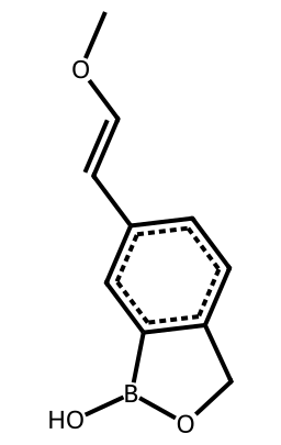 CO/C=C/c1ccc2c(c1)B(O)OC2